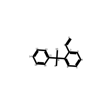 C=Cc1ccccc1C(C)(C)c1ccccc1